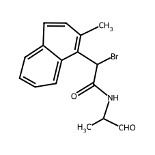 Cc1ccc2ccccc2c1C(Br)C(=O)NC(C)C=O